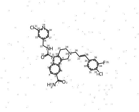 NC(=O)c1ccc2c(c1)c1c(n2C(=O)NCc2ccnc(Cl)c2)CCN(C/C=C/c2ccc(Cl)c(F)c2)C1